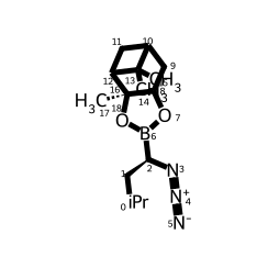 CC(C)C[C@H](N=[N+]=[N-])B1OC2CC3CC(C3(C)C)[C@]2(C)O1